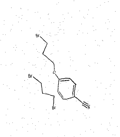 BrCCCBr.N#Cc1ccc(OCCCBr)cc1